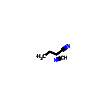 C#N.[CH2]CCC#N